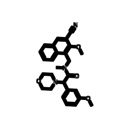 COc1cccc(C(C(=O)N(C)Cc2c(OC)c(C#N)cc3ccccc23)N2CCOCC2)c1